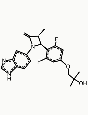 C=C1[C@@H](C)[C@@H](c2c(F)cc(OCC(C)(C)O)cc2F)N1c1ccc2[nH]cnc2c1